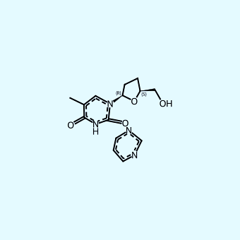 Cc1cn([C@H]2CC[C@@H](CO)O2)c(=O)[nH]c1=O.c1cncnc1